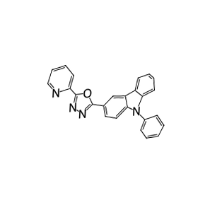 c1ccc(-n2c3ccccc3c3cc(-c4nnc(-c5ccccn5)o4)ccc32)cc1